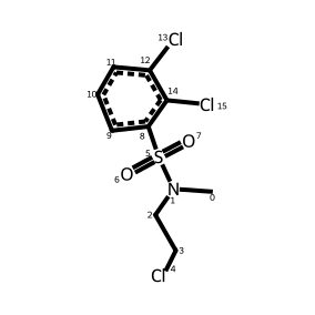 CN(CCCl)S(=O)(=O)c1cccc(Cl)c1Cl